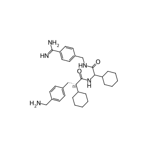 N=C(N)c1ccc(CNC(=O)C(NC(=O)[C@@H](Cc2ccc(CN)cc2)C2CCCCC2)C2CCCCC2)cc1